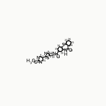 COc1ncc(-c2ncc(CNC(=O)c3ccc4c(c3)NC(=O)c3ccccc3S4)s2)cn1